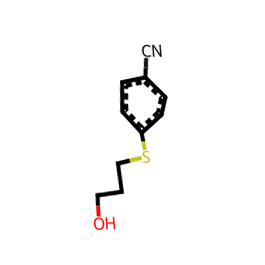 N#Cc1ccc(SCCCO)cc1